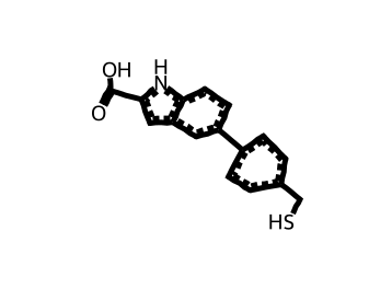 O=C(O)c1cc2cc(-c3ccc(CS)cc3)ccc2[nH]1